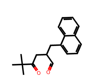 CC(C)(C)C(=O)CC(C=O)Cc1cccc2ccccc12